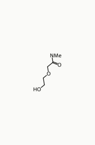 CNC(=O)COCCO